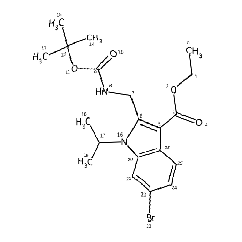 CCOC(=O)c1c(CNC(=O)OC(C)(C)C)n(C(C)C)c2cc(Br)ccc12